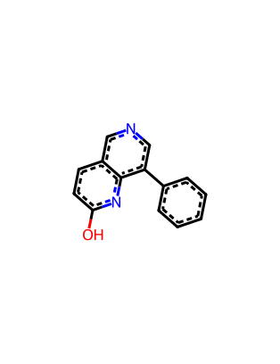 Oc1ccc2cncc(-c3ccccc3)c2n1